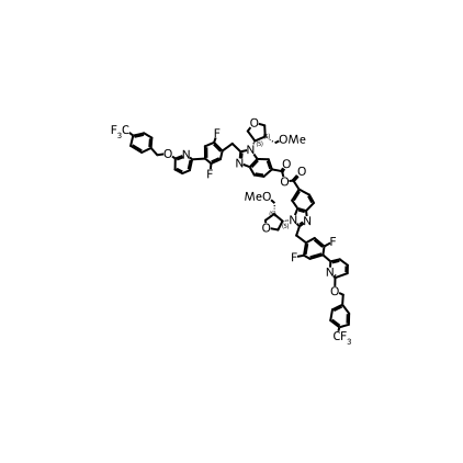 COC[C@H]1COC[C@H]1n1c(Cc2cc(F)c(-c3cccc(OCc4ccc(C(F)(F)F)cc4)n3)cc2F)nc2ccc(C(=O)OC(=O)c3ccc4nc(Cc5cc(F)c(-c6cccc(OCc7ccc(C(F)(F)F)cc7)n6)cc5F)n([C@@H]5COC[C@@H]5COC)c4c3)cc21